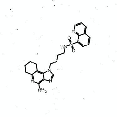 Nc1nc2c(c3c1ncn3CCCCNS(=O)(=O)c1cccc3cccnc13)CCCC2